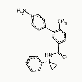 Cc1ccc(C(=O)NC2(c3ccccc3)CC2)cc1-c1cc[n+](N)nc1